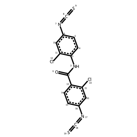 O=C(Nc1ccc(N=C=S)cc1Cl)c1ccc(N=C=S)cc1Cl